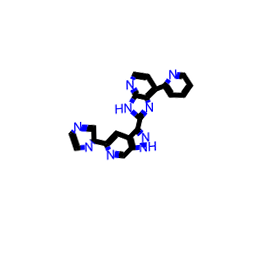 c1ccc(-c2ccnc3[nH]c(-c4n[nH]c5cnc(-c6cnccn6)cc45)nc23)nc1